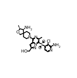 Cc1nc(N2CCC3(CC2)CO[C@@H](C)[C@H]3N)c2cc(CO)nn2c1S(=O)(=O)c1ccnc(N)c1Cl